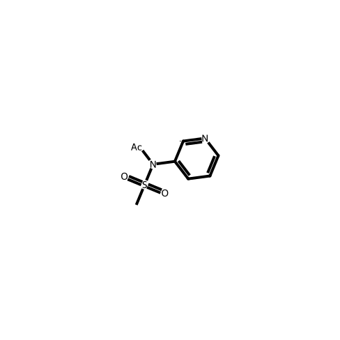 CC(=O)N(c1[c]nccc1)S(C)(=O)=O